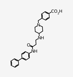 O=C(CCNC1CCN(Cc2ccc(C(=O)O)cc2)CC1)Nc1ccc(-c2ccccc2)cc1